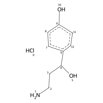 Cl.NCCC(O)c1ccc(O)cc1